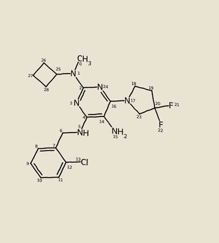 CN(c1nc(NCc2ccccc2Cl)c(N)c(N2CCC(F)(F)C2)n1)C1CCC1